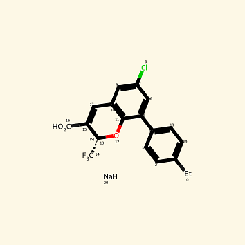 CCc1ccc(-c2cc(Cl)cc3c2O[C@H](C(F)(F)F)C(C(=O)O)=C3)cc1.[NaH]